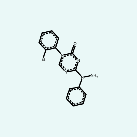 CCc1ccccc1-n1cnc(N(N)c2ccccc2)nc1=O